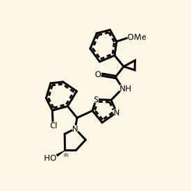 COc1ccccc1C1(C(=O)Nc2ncc(C(c3ccccc3Cl)N3CC[C@@H](O)C3)s2)CC1